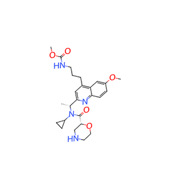 COC(=O)NCCCc1cc([C@@H](C)N(C(=O)[C@H]2CNCCO2)C2CC2)nc2ccc(OC)cc12